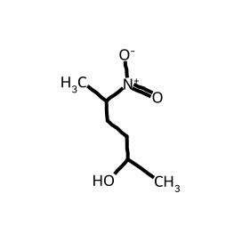 CC(O)CCC(C)[N+](=O)[O-]